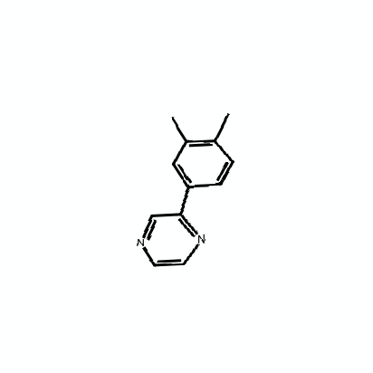 Cc1ccc(-c2cnccn2)cc1C